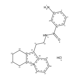 Cl.Nc1cccc(C(=O)NCCc2c3c(n4ccccc24)CCCC3)c1